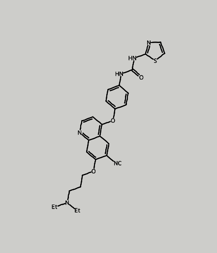 [C-]#[N+]c1cc2c(Oc3ccc(NC(=O)Nc4nccs4)cc3)ccnc2cc1OCCCN(CC)CC